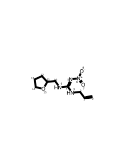 C=CCNC(=N[N+](=O)[O-])NCC1CCCO1